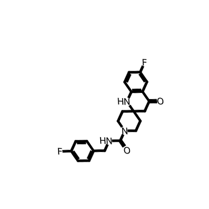 O=C1CC2(CCN(C(=O)NCc3ccc(F)cc3)CC2)Nc2ccc(F)cc21